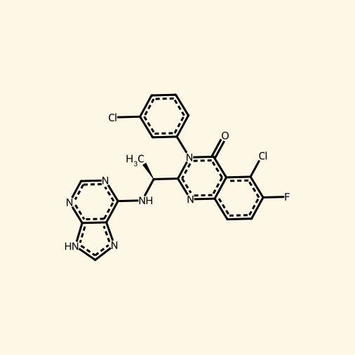 C[C@H](Nc1ncnc2[nH]cnc12)c1nc2ccc(F)c(Cl)c2c(=O)n1-c1cccc(Cl)c1